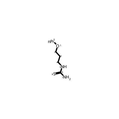 CCCOCCCNC(N)=S